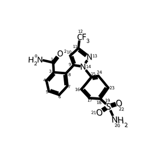 NC(=O)c1ccccc1-c1cc(C(F)(F)F)nn1-c1ccc(S(N)(=O)=O)cc1